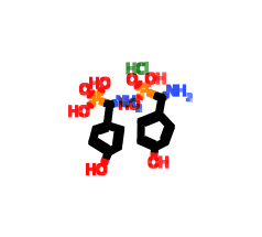 Cl.NC(c1ccc(O)cc1)P(=O)(O)O.NC(c1ccc(O)cc1)P(=O)(O)O